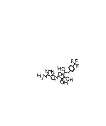 Nc1ncnc2c1ccn2[C@@H]1O[C@@H](C(O)Cc2ccc(C(F)(F)F)cc2)[C@@H](O)[C@H]1O